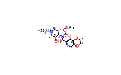 CC(C)(C)OC(=O)N(Cc1cc2c(cn1)OCCO2)[C@@H]1CCN(C(=O)O)C[C@H]1O